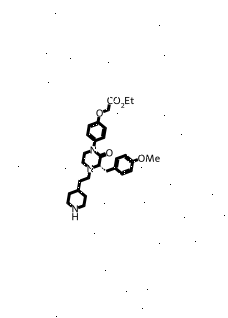 CCOC(=O)COc1ccc(N2CCN(CCC3CCNCC3)[C@@H](Cc3ccc(OC)cc3)C2=O)cc1